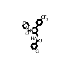 O=C(NCC1CC(c2ccc(C(F)(F)F)cc2)CN(C(=O)N2CCOCC2)C1)c1cccc(Cl)c1